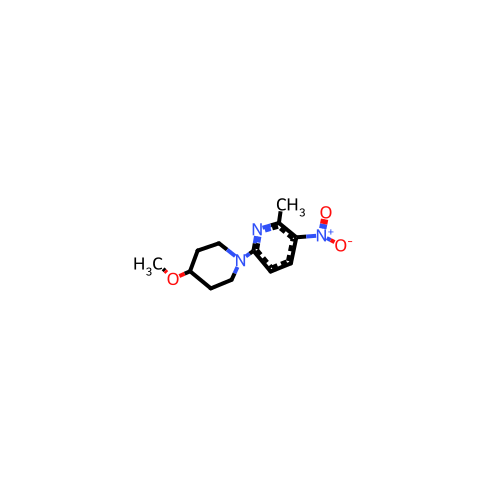 COC1CCN(c2ccc([N+](=O)[O-])c(C)n2)CC1